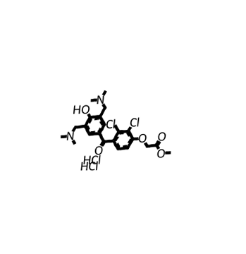 COC(=O)COc1ccc(C(=O)c2cc(CN(C)C)c(O)c(CN(C)C)c2)c(Cl)c1Cl.Cl.Cl